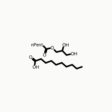 CCCCCC(=O)OCC(O)CO.CCCCCCCCCC(=O)O